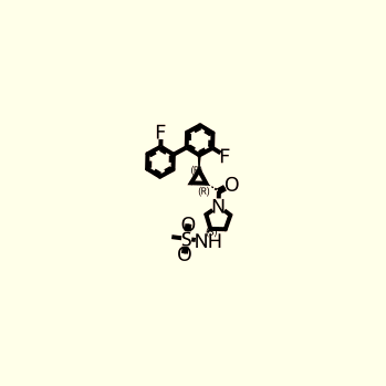 CS(=O)(=O)N[C@H]1CCN(C(=O)[C@@H]2C[C@H]2c2c(F)cccc2-c2ccccc2F)C1